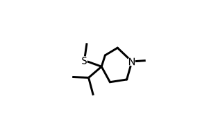 CSC1(C(C)C)CCN(C)CC1